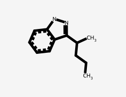 CCCC(C)C1=N[N]c2ccccc21